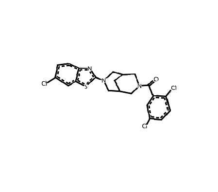 O=C(c1cc(Cl)ccc1Cl)N1CC2CC(C1)CN(c1nc3ccc(Cl)cc3s1)C2